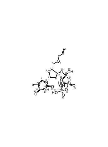 C=CCOC[C@H]1O[C@@H](n2cc(C)c(=O)[nH]c2=O)C[C@@H]1OP(=O)(O)OP(=O)(O)OP(=O)(O)O